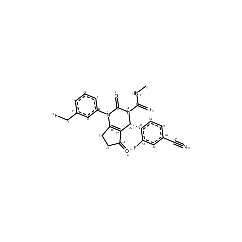 CNC(=O)N1C(=O)N(c2cccc(CF)c2)C2=C(C(=O)CC2)[C@H]1c1ccc(C#N)cc1F